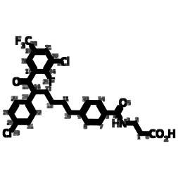 O=C(O)CCNC(=O)c1ccc(CCCCC(C(=O)c2cc(C(F)(F)F)cc(Cl)c2F)c2ccc(Cl)cc2)cc1